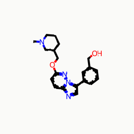 CN1CCCC(COc2ccc3ncc(-c4cccc(CO)c4)n3n2)C1